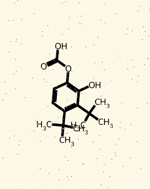 CC(C)(C)c1ccc(OC(=O)O)c(O)c1C(C)(C)C